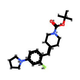 CC(C)(C)OC(=O)N1CCC(=Cc2ccc(N3CCCC3)cc2F)CC1